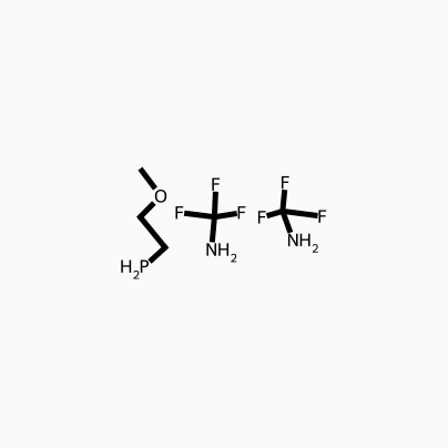 COCCP.NC(F)(F)F.NC(F)(F)F